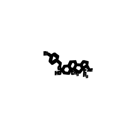 CCc1ccc(COC2(O)CCC3(C)C(=CCC4C3CCC3(C)C(C(C)=O)CCC43)C2)cc1